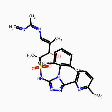 C=N/C(C)=N\C=C(/C)[C@H](O)[C@@H](C)S(=O)(=O)Nc1nnc(-c2cccc(OC)n2)n1-c1c(OC)cccc1OC